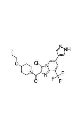 CCCOC1CCN(C(=O)c2nc3c(C(F)(F)F)cc(-c4cn[nH]c4)cn3c2Cl)CC1